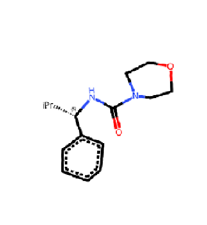 CC(C)[C@H](NC(=O)N1CCOCC1)c1ccccc1